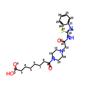 O=C(O)CCCCCCC(=O)N1CCN(CC(=O)Nc2nc3ccccc3s2)CC1